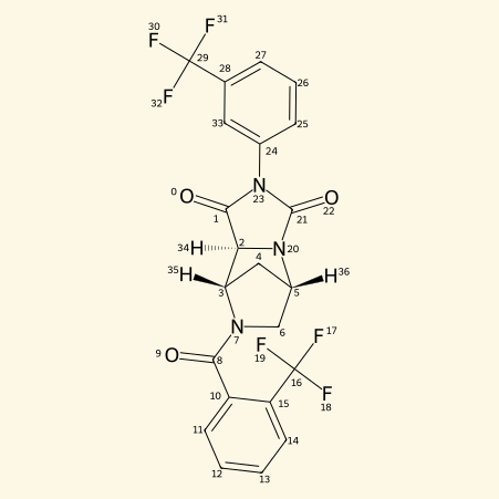 O=C1[C@@H]2[C@@H]3C[C@@H](CN3C(=O)c3ccccc3C(F)(F)F)N2C(=O)N1c1cccc(C(F)(F)F)c1